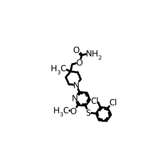 COc1nc(N2CCC(C)(COC(N)=O)CC2)ccc1Sc1cccc(Cl)c1Cl